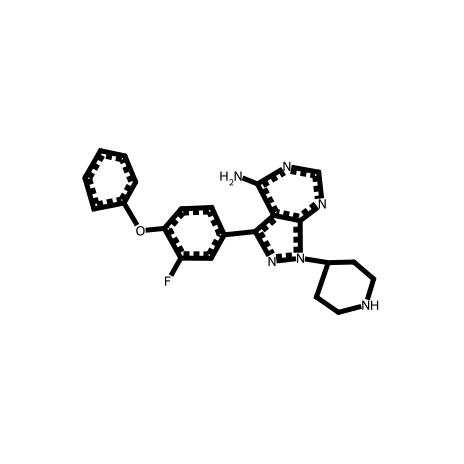 Nc1ncnc2c1c(-c1ccc(Oc3ccccc3)c(F)c1)nn2C1CCNCC1